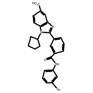 CC(=O)c1cccc(NC(=O)c2cccc(-c3nc4cc(C(=O)O)ccc4n3C3CCCC3)c2)c1